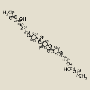 C=CC(=O)OCC(O)COCCCCOc1ccc(C(=O)Oc2ccc(OC(=O)c3ccc(OCCCCOCC(O)COC(=O)C=C)cc3)c(F)c2)cc1